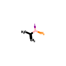 C=C(C)B(P)I